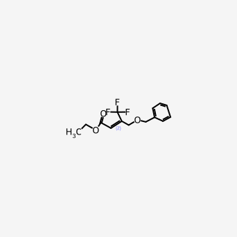 CCOC(=O)/C=C(/COCc1ccccc1)C(F)(F)F